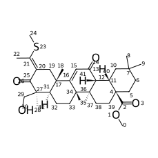 COC(=O)[C@]12CCC(C)(C)C[C@H]1[C@H]1C(=O)C=C3[C@@]4(C)C/C(=C(/C)SC)C(=O)[C@](C)(CO)[C@@H]4CC[C@@]3(C)[C@]1(C)CC2